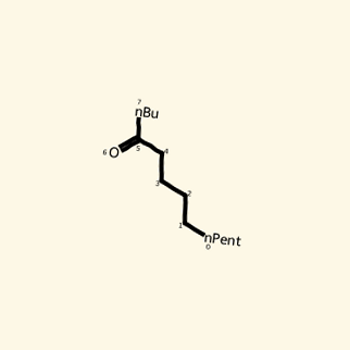 CCCCCCCCCC(=O)CCCC